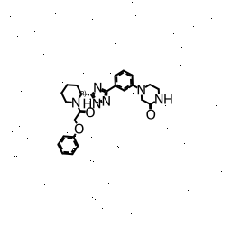 O=C1CN(c2cccc(-c3n[nH]c([C@H]4CCCCN4C(=O)COc4ccccc4)n3)c2)CCN1